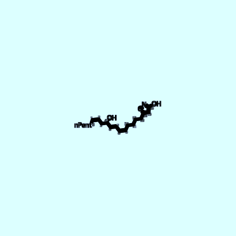 CCCCC/C=C\C[C@H](O)/C=C/C=C\CCCCc1cc(O)no1